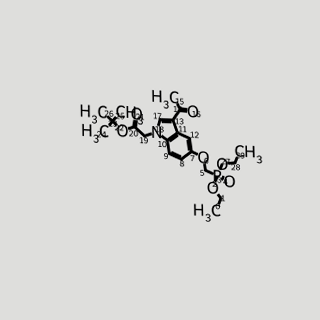 CCOP(=O)(COc1ccc2c(c1)c(C(C)=O)cn2CC(=O)OC(C)(C)C)OCC